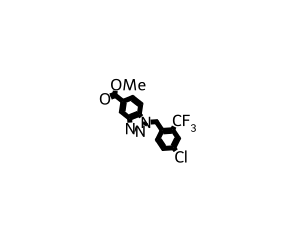 COC(=O)c1ccc2c(c1)nnn2Cc1ccc(Cl)cc1C(F)(F)F